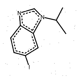 CC(C)n1cnc2ccc(I)cc21